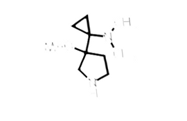 COC1(C2(N(C)C)CC2)CCNC1